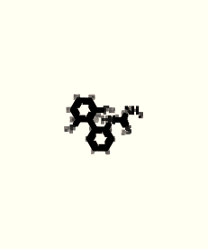 NC(=S)Nc1ccccc1-c1c(F)cccc1F